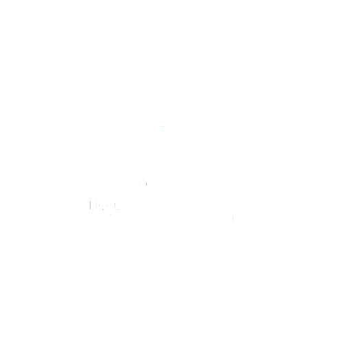 O=C(O)OCc1c(F)cccc1Cl